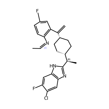 C=C(c1cc(F)ccc1/N=C\C)[C@H]1CC[C@@H]([C@@H](C)c2nc3cc(Cl)c(F)cc3[nH]2)CC1